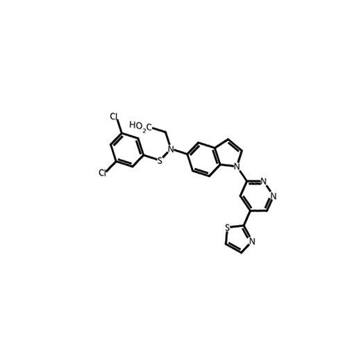 O=C(O)CN(Sc1cc(Cl)cc(Cl)c1)c1ccc2c(ccn2-c2cc(-c3nccs3)cnn2)c1